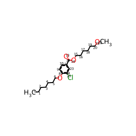 CCCCCCCOc1ccc(C(=O)OCCCCCCOC)cc1Cl